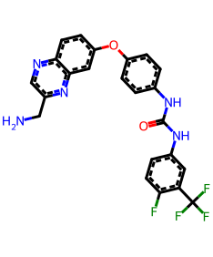 NCc1cnc2ccc(Oc3ccc(NC(=O)Nc4ccc(F)c(C(F)(F)F)c4)cc3)cc2n1